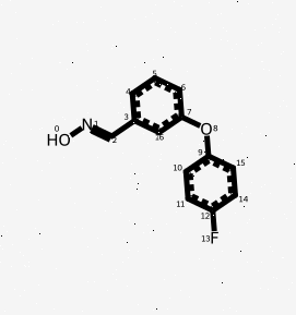 ON=Cc1cccc(Oc2ccc(F)cc2)c1